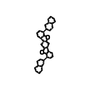 c1ccc2cc(-c3cccc4c3oc3cc5c(cc34)oc3c(-c4ccc6ccccc6c4)cccc35)ccc2c1